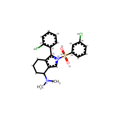 CN(C)C1CCCc2c1cn(S(=O)(=O)c1cccc(Cl)c1)c2-c1ccccc1F